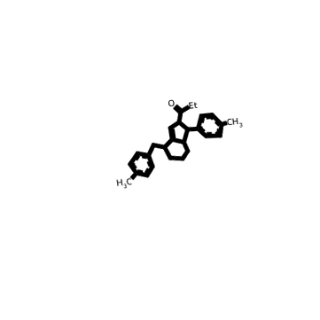 CCC(=O)C1C=C2C(Cc3ccc(C)cc3)CCCC2C1c1ccc(C)cc1